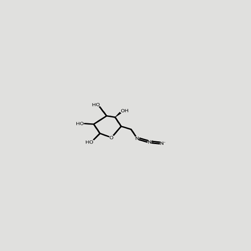 [N-]=[N+]=NCC1OC(O)C(O)C(O)[C@H]1O